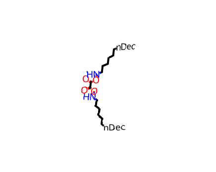 CCCCCCCCCCCCCCCCNOC(=O)C(=O)ONCCCCCCCCCCCCCCCC